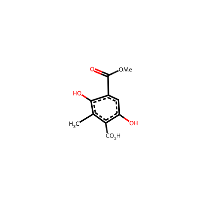 COC(=O)c1cc(O)c(C(=O)O)c(C)c1O